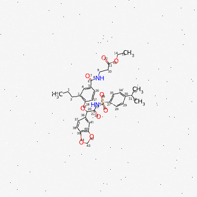 CCCc1cc(C(=O)NCCC(=O)OCC)ccc1OC(C(=O)NS(=O)(=O)c1ccc(C(C)C)cc1)c1ccc2c(c1)OCO2